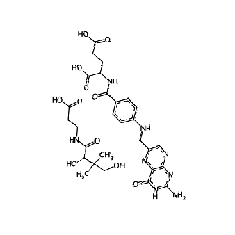 CC(C)(CO)C(O)C(=O)NCCC(=O)O.Nc1nc2ncc(CNc3ccc(C(=O)NC(CCC(=O)O)C(=O)O)cc3)nc2c(=O)[nH]1